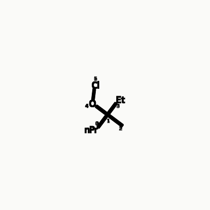 CCCC(C)(CC)OCl